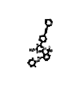 Oc1nc(-c2ccc(C#Cc3ccccc3)cc2)nc(-c2c(OCc3ncccc3F)cccc2C(F)(F)F)n1